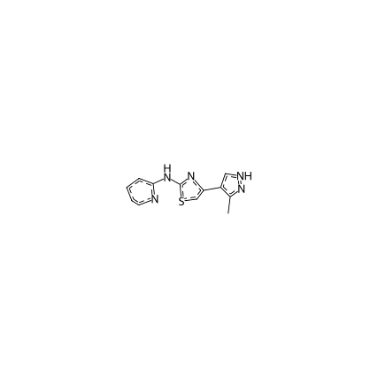 Cc1n[nH]cc1-c1csc(Nc2ccccn2)n1